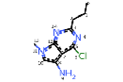 CCCc1nc(Cl)c2c(N)cn(C)c2n1